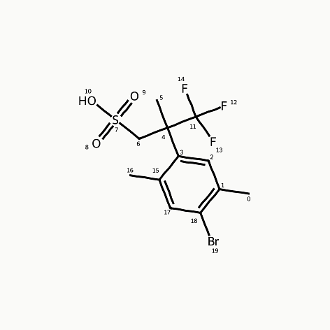 Cc1cc(C(C)(CS(=O)(=O)O)C(F)(F)F)c(C)cc1Br